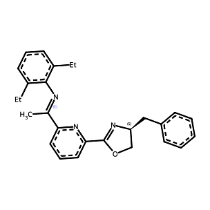 CCc1cccc(CC)c1/N=C(\C)c1cccc(C2=N[C@@H](Cc3ccccc3)CO2)n1